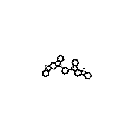 c1cc(-n2c3ccccc3c3cc4oc5ccccc5c4cc32)cc(-n2c3ccccc3c3c4oc5ccccc5c4ccc32)c1